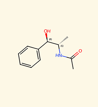 CC(=O)N[C@@H](C)[C@H](O)c1ccccc1